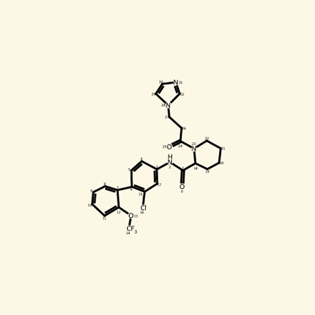 O=C(Nc1ccc(-c2ccccc2OC(F)(F)F)c(Cl)c1)C1CCCCN1C(=O)CCn1ccnc1